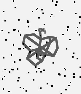 CC12CC3CC4C5CC6CC1C5CC3NC42C6